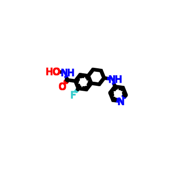 O=C(NO)c1cc2c(cc1F)CC(Nc1ccncc1)CC2